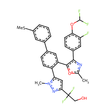 CSc1cccc(-c2ccc(-c3cc(C(F)(F)CO)nn3C)c(-c3oc(C)nc3-c3ccc(OC(F)F)c(F)c3)c2)c1